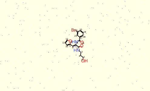 O=C(NCCCO)/C(=C/c1ccco1)NC(=O)c1cccc(Br)c1